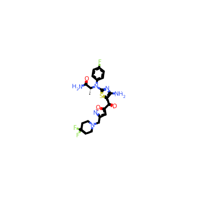 C[C@H](C(N)=O)N(c1ccc(F)cc1)c1nc(N)c(C(=O)c2cc(CN3CCC(F)(F)CC3)no2)s1